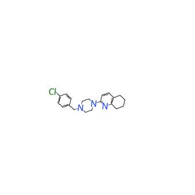 Clc1ccc(CN2CCN(c3ccc4c(n3)CCCC4)CC2)cc1